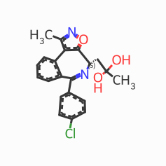 Cc1noc2c1-c1ccccc1C(c1ccc(Cl)cc1)=N[C@H]2CC(C)(O)O